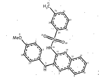 COc1ccc(Nc2nc3ccccc3nc2NS(=O)(=O)c2cccc(C)c2)cc1